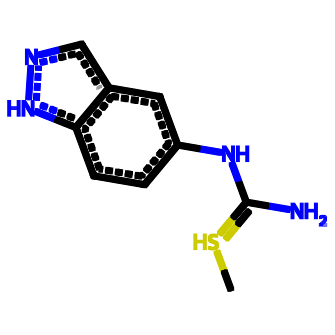 C[SH]=C(N)Nc1ccc2[nH]ncc2c1